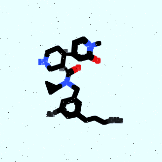 COCCCc1cc(CN(C(=O)[C@@H]2CNCC[C@H]2c2ccn(C)c(=O)c2)C2CC2)cc(C(C)=O)c1